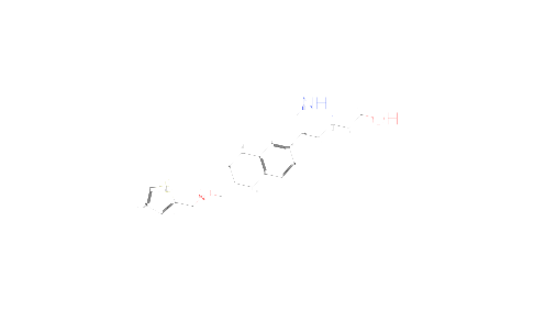 NC[C@H](CCCCO)c1ccc2c(c1)CC[C@@H](COCc1cccs1)C2